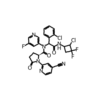 N#Cc1ccnc(N2C(=O)CC[C@H]2C(=O)N(c2cncc(F)c2)C(C(=O)NC2CC(F)(F)C2Cl)c2ccccc2Cl)c1